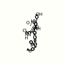 CC(C)c1ccccc1[C@@H]1CN(Cc2ccc(OC3CC3)cc2)CCN1C1CC2(CCN(c3ccc(C(=O)NS(=O)(=O)c4ccc(NCC5CCC(C)(O)CC5)c([N+](=O)[O-])c4)c(Oc4cnc5[nH]cc(Cl)c5c4)c3)CC2)C1